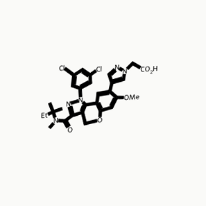 CCC(C)(C)N(C)C(=O)c1nn(-c2cc(Cl)cc(Cl)c2)c2c1COc1cc(OC)c(-c3cnn(CC(=O)O)c3)cc1-2